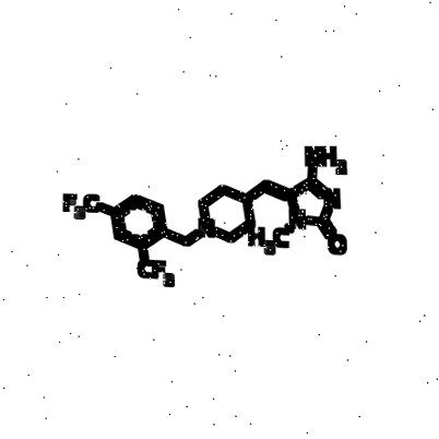 CN1C(=O)N=C(N)C1=CC1CCN(Cc2ccc(C(F)(F)F)cc2C(F)(F)F)CC1